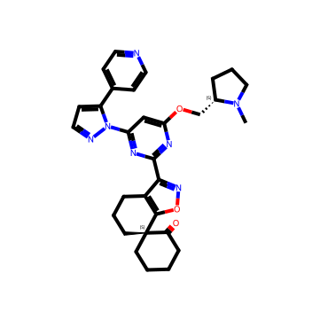 CN1CCC[C@H]1COc1cc(-n2nccc2-c2ccncc2)nc(-c2noc3c2CCC[C@@]32CCCCC2=O)n1